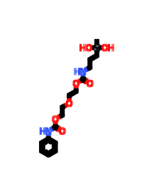 C[Si](O)(O)CCCNC(=O)OCCOCCOC(=O)Nc1ccccc1